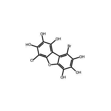 Oc1c(O)c(Br)c2c(oc3c(Cl)c(O)c(O)c(O)c32)c1O